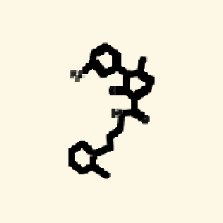 Cc1ccc(C(=O)NCCCN2CCCCC2C)c(=O)n1-c1cccc(C(F)(F)F)c1